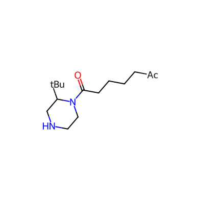 CC(=O)CCCCC(=O)N1CCNCC1C(C)(C)C